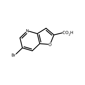 O=C(O)c1cc2ncc(Br)cc2o1